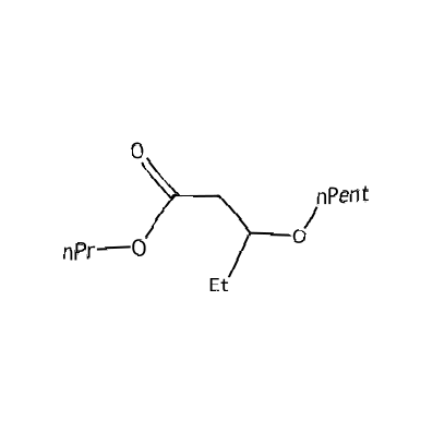 CCCCCOC(CC)CC(=O)OCCC